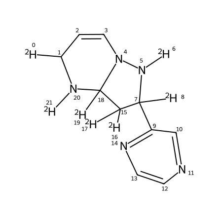 [2H]C1C=CN2N([2H])C([2H])(c3cnccn3)C([2H])([2H])C2([2H])N1[2H]